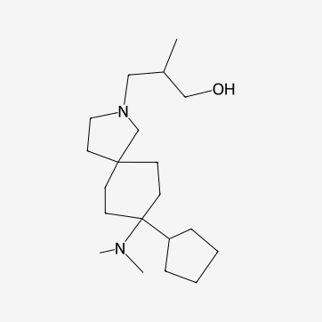 CC(CO)CN1CCC2(CCC(C3CCCC3)(N(C)C)CC2)C1